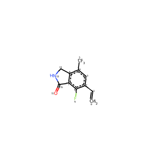 C=Cc1cc(C(F)(F)F)c2c(c1F)C(=O)NC2